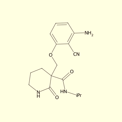 CC(C)NC(=O)C1(COc2cccc(N)c2C#N)CCCNC1=O